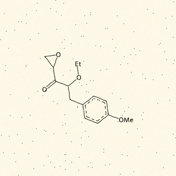 CCOC(Cc1ccc(OC)cc1)C(=O)C1CO1